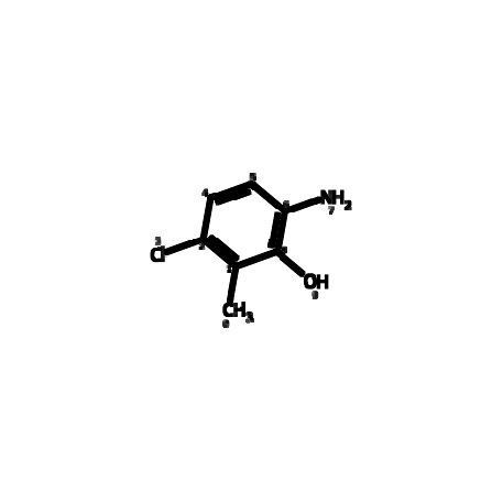 Cc1c(Cl)ccc(N)c1O